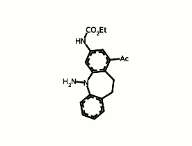 CCOC(=O)Nc1cc(C(C)=O)c2c(c1)N(N)c1ccccc1CC2